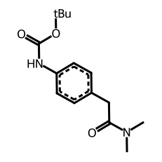 CN(C)C(=O)Cc1ccc(NC(=O)OC(C)(C)C)cc1